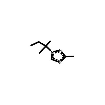 CCC(C)(C)n1cnc(C)n1